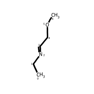 CCN=CCOC